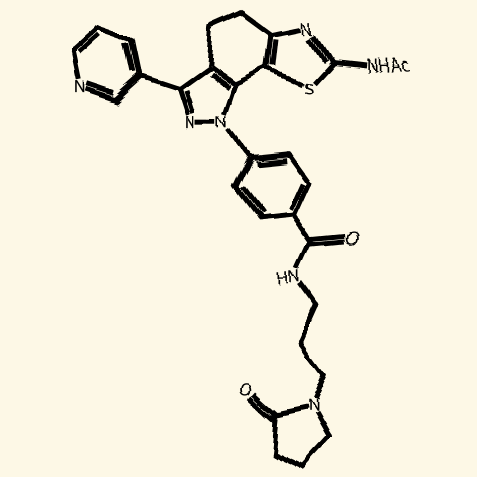 CC(=O)Nc1nc2c(s1)-c1c(c(-c3cccnc3)nn1-c1ccc(C(=O)NCCCN3CCCC3=O)cc1)CC2